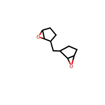 C1CC2OC2C1CC1CCC2OC12